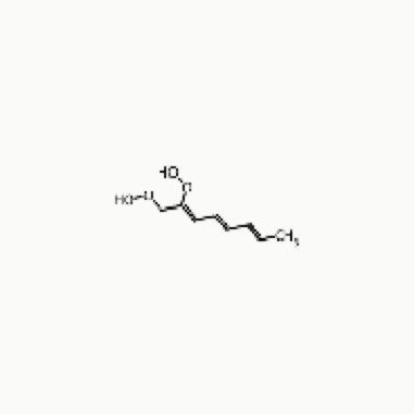 CC=CC=CC=C(COO)OO